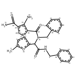 Cc1ccc(C(C(=O)NCc2ccccc2)N(Cc2ccccc2)C(=O)c2snc(C(N)=O)c2N)o1